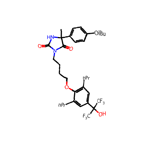 CCCc1cc(C(O)(C(F)(F)F)C(F)(F)F)cc(CCC)c1OCCCCN1C(=O)NC(C)(c2ccc(OCC(C)C)cc2)C1=O